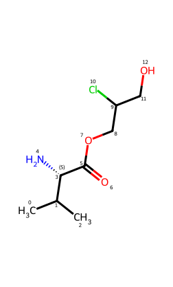 CC(C)[C@H](N)C(=O)OCC(Cl)CO